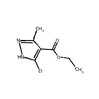 CCOC(=O)c1c(C)n[nH]c1Cl